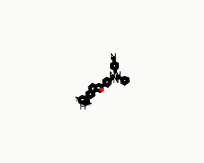 C[C@@H]1C[C@@H]2C[C@H](C)CC(c3ccc4c(ccc5cc(-c6ccc(-c7nc(-c8ccccc8)nc(-c8ccc(C#N)cc8)n7)cc6)ccc54)c3)(C1)C2